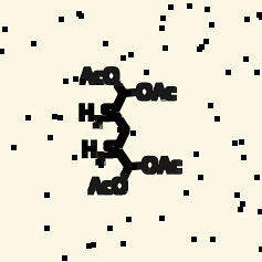 CC(=O)OC(OC(C)=O)[SiH2]C[SiH2]C(OC(C)=O)OC(C)=O